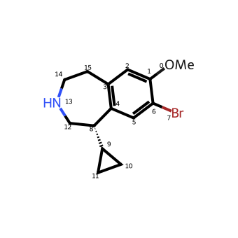 COc1cc2c(cc1Br)[C@H](C1CC1)CNCC2